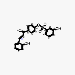 O=C(/C=C/c1ccccc1O)c1ccc(OS(=O)(=O)c2cccc(O)c2)cc1